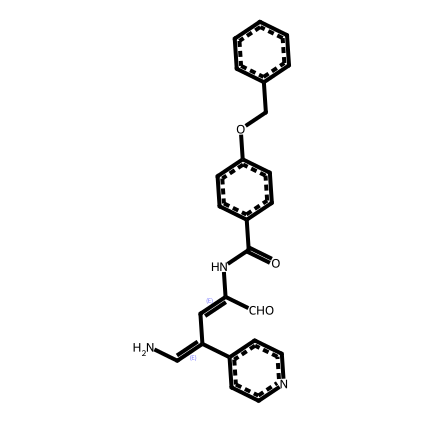 N/C=C(\C=C(/C=O)NC(=O)c1ccc(OCc2ccccc2)cc1)c1ccncc1